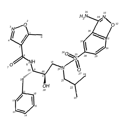 Cc1oncc1C(=O)N[C@@H](Cc1ccccc1)[C@H](O)CN(CC(C)C)S(=O)(=O)c1ccc2onc(N)c2c1